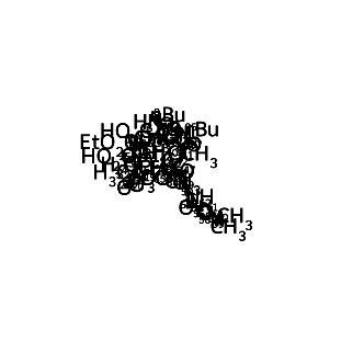 CCCCNC(=O)C(C(CC(C)(C)C(C(=O)OCC)C(CC(C)(C)C1C(=O)OC(=O)C1C)C(=O)O)C(=O)O)C(C)(C)CC1C(=O)N(CCCC)C(=O)C1C(C)(C)CC(C(=O)O)C(C(=O)OCCNC(=O)c1ccc(N(C)C)cc1)C(C)(C)CC